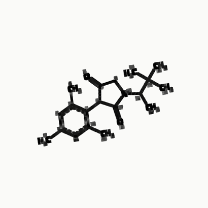 Cc1cc(C)c(C2C(=O)CN(C(C)C(C)(C)C)C2=O)c(C)c1